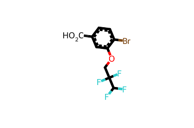 O=C(O)c1ccc(Br)c(OCC(F)(F)C(F)F)c1